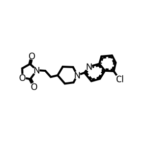 O=C1COC(=O)N1CCC1CCN(c2ccc3c(Cl)cccc3n2)CC1